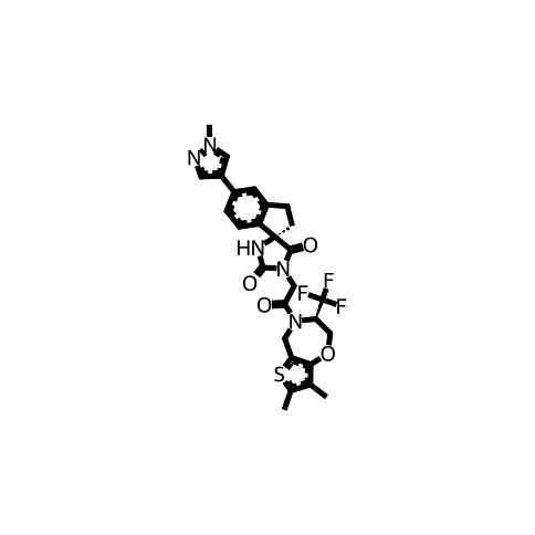 Cc1sc2c(c1C)OC[C@H](C(F)(F)F)N(C(=O)CN1C(=O)N[C@]3(CCc4cc(-c5cnn(C)c5)ccc43)C1=O)C2